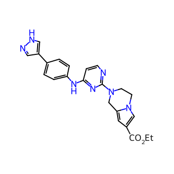 CCOC(=O)c1cc2n(c1)CCN(c1nccc(Nc3ccc(-c4cn[nH]c4)cc3)n1)C2